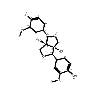 COC1=CC([C@H]2OC[C@@H]3[C@@H](C4CC=C(O)C(OC)C4)OC[C@]23O)CC=C1O